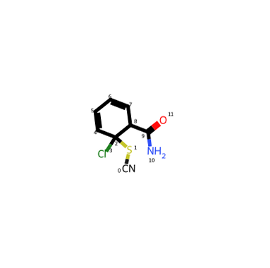 N#CSC1(Cl)C=CC=CC1C(N)=O